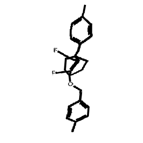 Cc1ccc(COC23CCC(c4ccc(C)cc4)(CC2)C(F)=C3F)cc1